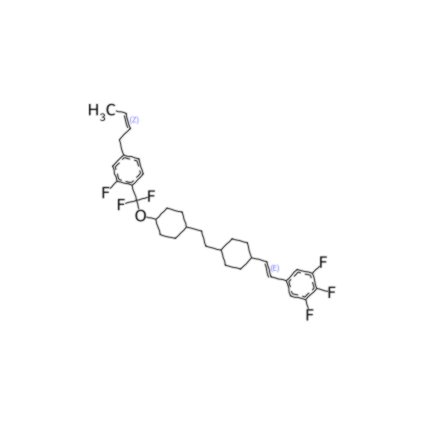 C/C=C\Cc1ccc(C(F)(F)OC2CCC(CCC3CCC(/C=C/c4cc(F)c(F)c(F)c4)CC3)CC2)c(F)c1